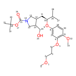 COCCCOc1cc(O[C@@H](CC2CN(C(=O)OC(C)(C)C)CC2CO)C(C)C)ccc1OC